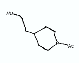 [CH2]C(=O)N1CCC(CCO)CC1